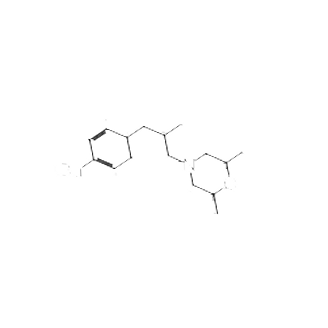 CC(CC1C=CC(C(C)(C)C)=CC1)CN1CC(C)OC(C)C1